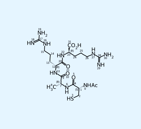 CC(=O)N[C@H](CS)C(=O)N[C@H](C)C(=O)N[C@H](CCCNC(=N)N)C(=O)N[C@H](CCCNC(=N)N)C(=O)O